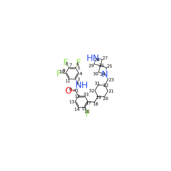 O=C(Nc1cc(F)c(F)c(F)c1)c1ccc(F)c(CC2CCC(CN3CC4(CNC4)C3)CC2)c1